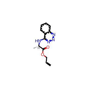 C=CCOC(=O)[C@H](C)Nc1nnnc2ccccc12